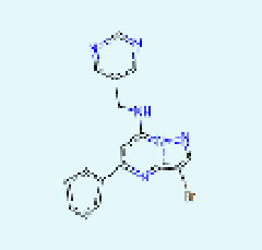 Brc1cnn2c(NCc3cncnc3)cc(-c3ccccc3)nc12